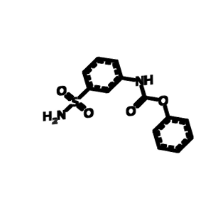 NS(=O)(=O)c1cccc(NC(=O)Oc2ccccc2)c1